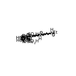 CCC(=O)NCCCCCCCC(=O)NCCCCCCOC1OC(C(=O)O)C(OC2OC(C)C(O)C(O)C2NC(C)=O)C(O)C1OS(=O)(=O)O